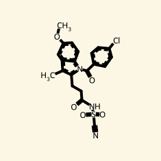 COc1ccc2c(c1)c(C)c(CCC(=O)NS(=O)(=O)C#N)n2C(=O)c1ccc(Cl)cc1